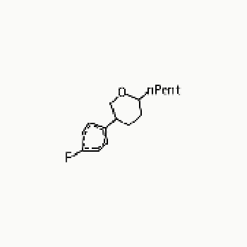 CCCCCC1CCC(c2ccc(F)cc2)CO1